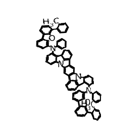 Cc1ccccc1-c1cccc2c1oc1c(N(c3ccccc3)c3cccc4c3c3cccc5c6cc7c(cc6n4c53)c3cccc4c5c(N(c6ccccc6)c6cccc8c6oc6c(-c9ccccc9C)cccc68)cccc5n7c34)cccc12